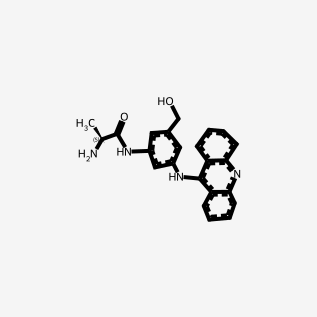 C[C@H](N)C(=O)Nc1cc(CO)cc(Nc2c3ccccc3nc3ccccc23)c1